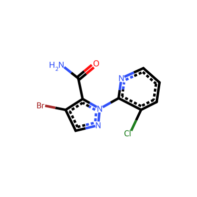 NC(=O)c1c(Br)cnn1-c1ncccc1Cl